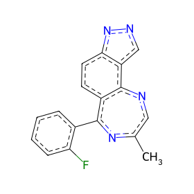 Cc1cnc2c(ccc3nncc32)c(-c2ccccc2F)n1